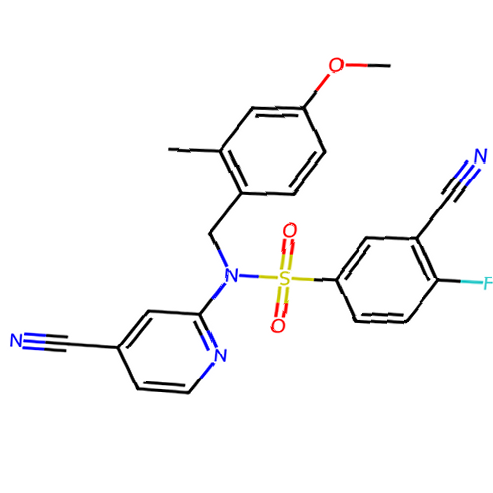 COc1ccc(CN(c2cc(C#N)ccn2)S(=O)(=O)c2ccc(F)c(C#N)c2)c(C)c1